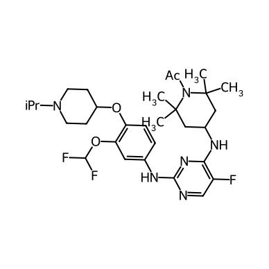 CC(=O)N1C(C)(C)CC(Nc2nc(Nc3ccc(OC4CCN(C(C)C)CC4)c(OC(F)F)c3)ncc2F)CC1(C)C